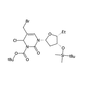 CC[C@H]1O[C@@H](N2C=C(CBr)C(Cl)N(C(=O)OC(C)(C)C)C2=O)C[C@H]1O[Si](C)(C)C(C)(C)C